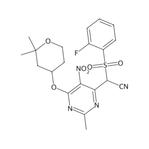 Cc1nc(OC2CCOC(C)(C)C2)c([N+](=O)[O-])c(C(C#N)S(=O)(=O)c2ccccc2F)n1